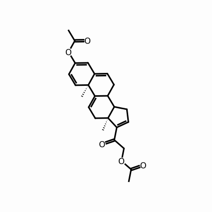 CC(=O)OCC(=O)C1=CCC2C3CC=C4C=C(OC(C)=O)C=C[C@]4(C)C3=CC[C@]12C